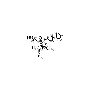 CC(C)OC(=O)[C@H](C)C[C@@H](Cc1ccc(-c2ccccc2)cc1)NC(=O)CCC(=O)O